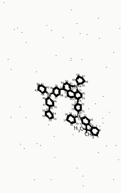 CC1(C)c2ccccc2-c2ccc(N(c3ccccc3)c3ccc(-c4ccc5c6c4ccc4c(-c7ccc(N(c8ccccc8)c8ccc(-c9ccccc9)cc8)cc7)ccc(c46)n5-c4ccccc4)cc3)cc21